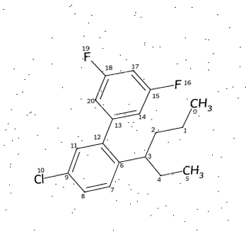 CCCC(CC)c1ccc(Cl)cc1-c1cc(F)cc(F)c1